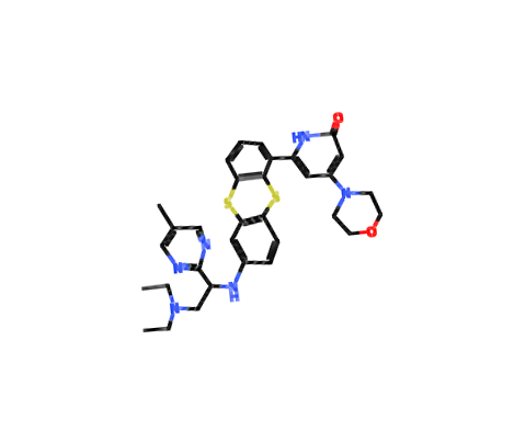 CCN(CC)CC(Nc1ccc2c(c1)Sc1cccc(-c3cc(N4CCOCC4)cc(=O)[nH]3)c1S2)c1ncc(C)cn1